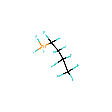 FC(F)(F)C(F)(F)C(F)(F)C(F)(F)[PH](F)(F)F